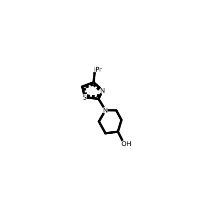 CC(C)c1csc(N2CCC(O)CC2)n1